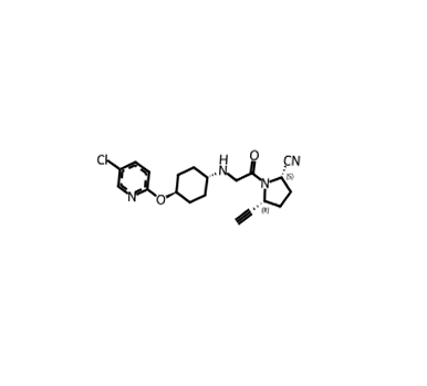 C#C[C@H]1CC[C@@H](C#N)N1C(=O)CN[C@H]1CC[C@H](Oc2ccc(Cl)cn2)CC1